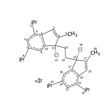 CC1=Cc2c(C(C)C)cc(C(C)C)cc2C1(Cl)CCC1(Cl)C(C)=Cc2c(C(C)C)cc(C(C)C)cc21.[Zr]